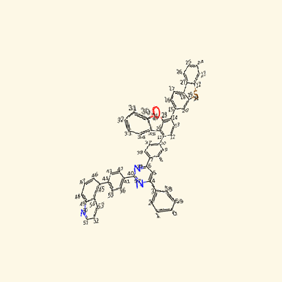 c1ccc(-c2cc(-c3ccc(-c4ccc(-c5ccc6c(c5)sc5ccccc56)c5oc6ccccc6c45)cc3)nc(-c3ccc(-c4cccc5ncccc45)cc3)n2)cc1